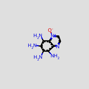 Nc1c(N)c(N)c2c(ncc[n+]2[O-])c1N